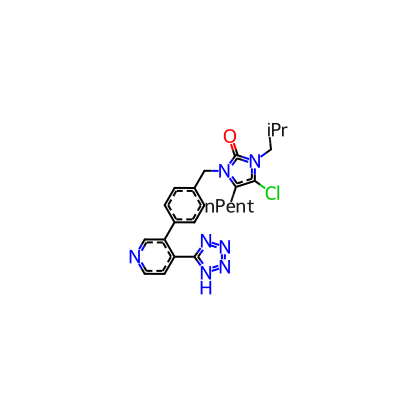 CCCCCc1c(Cl)n(CC(C)C)c(=O)n1Cc1ccc(-c2cnccc2-c2nnn[nH]2)cc1